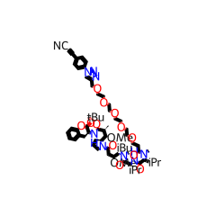 CC[C@H](C)[C@@H]([C@@H](CC(=O)N1CCC[C@H]1[C@H](OC)[C@@H](C)C(=O)N[C@@H](Cc1ccccc1)C(=O)OC(C)(C)C)OC)N(C)C(=O)[C@@H](NC(=O)C(C(C)C)N(C)C(=O)CCOCCOCCOCCOCCOCc1cn(-c2ccc(C#CC#N)cc2)nn1)C(C)C